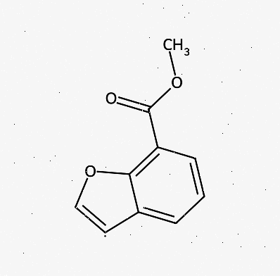 COC(=O)c1cccc2[c]coc12